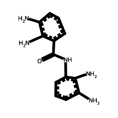 Nc1cccc(NC(=O)c2cccc(N)c2N)c1N